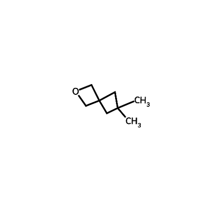 CC1(C)CC2(COC2)C1